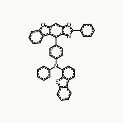 c1ccc(-c2nc3c(-c4ccc(N(c5ccccc5)c5cccc6c5sc5ccccc56)cc4)c4c(cc3o2)oc2ccccc24)cc1